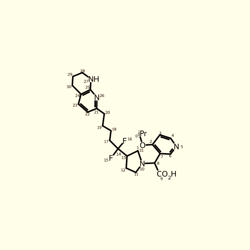 CC(C)Oc1ccncc1C(C(=O)O)N1CCC(C(F)(F)CCCCc2ccc3c(n2)NCCC3)C1